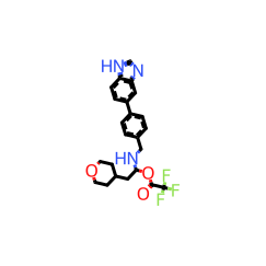 O=C(OC(CC1CCOCC1)NCc1ccc(-c2ccc3[nH]cnc3c2)cc1)C(F)(F)F